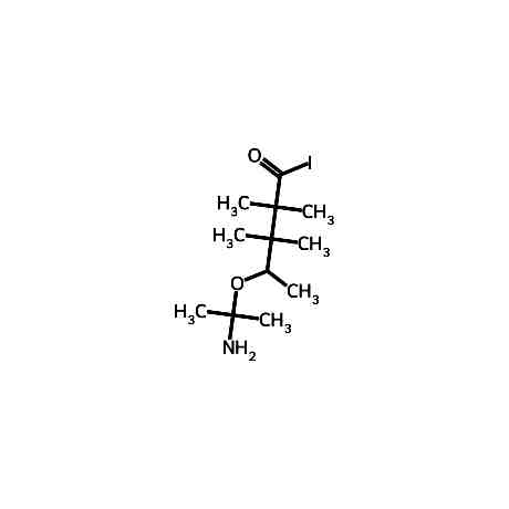 CC(OC(C)(C)N)C(C)(C)C(C)(C)C(=O)I